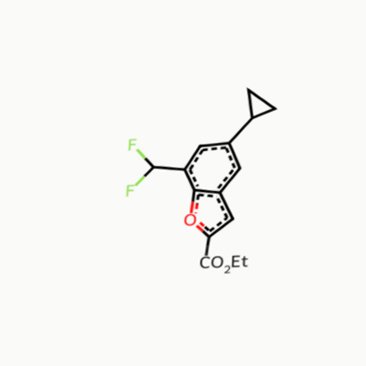 CCOC(=O)c1cc2cc(C3CC3)cc(C(F)F)c2o1